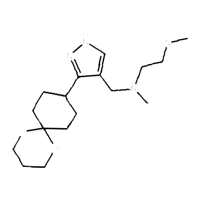 CNCCN(C)Cc1c[nH]nc1C1CCC2(CC1)OCCCO2